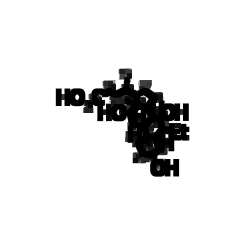 CCC1[C@@H](O)[C@@H]2[C@H](C[C@H](O)[C@]3(C)[C@@H]([C@H](C)CCC(=O)O)CC[C@@H]23)[C@@]2(C)CC[C@@H](O)C[C@@H]12